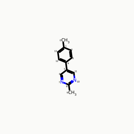 Cc1[c]cc(-c2cnc(C)nc2)cc1